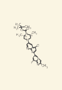 Cc1cn2cc(-c3cc(Cl)c4cc(N5C[C@@H](C)N(C(=O)OC(C)(C)C)[C@@H](C)C5)cnc4n3)cc(F)c2n1